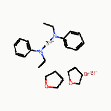 C1CCOC1.C1CCOC1.CC[N]([Ti+2][N](CC)c1ccccc1)c1ccccc1.[Br-].[Br-]